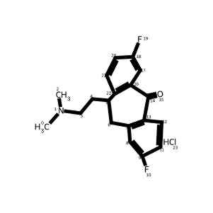 CN(C)CCC1Cc2cc(F)ccc2C(=O)c2cc(F)ccc21.Cl